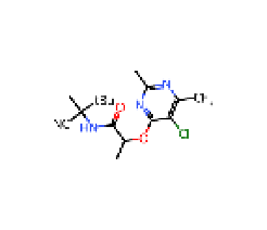 Cc1nc(OC(C)C(=O)NC(C)(C#N)C(C)(C)C)c(Cl)c(C(F)(F)F)n1